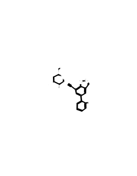 CCc1ccccc1-c1cc(C#C[C@H]2O[C@H](CO)[C@@H](O)[C@H](O)[C@@H]2O)c2[nH]ncc2c1